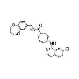 O=C(NCc1ccc2c(c1)OCCCO2)C1=CC=C(Nc2nccc3ccc(Cl)cc23)C=CC1